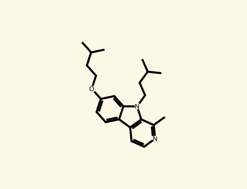 Cc1nccc2c3ccc(OCCC(C)C)cc3n(CCC(C)C)c12